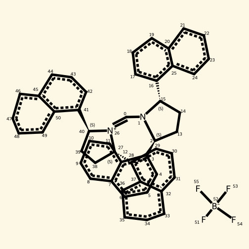 C(N1[C@H](c2cccc3ccccc23)CC[C@H]1c1cccc2ccccc12)=[N+]1[C@H](c2cccc3ccccc23)CC[C@H]1c1cccc2ccccc12.F[B-](F)(F)F